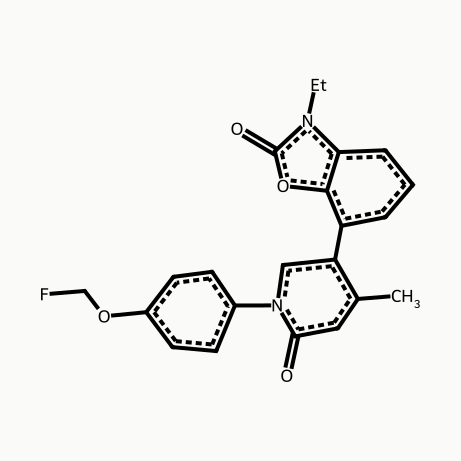 CCn1c(=O)oc2c(-c3cn(-c4ccc(OCF)cc4)c(=O)cc3C)cccc21